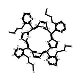 CCCCc1cccnc1C1=C2C=CC(=N2)C(c2ncccc2CCCC)=C2C=CC(=N2)C(c2ncccc2CCCC)=C2C=CC(=N2)C(c2ncccc2CCCC)=C2C=CC1=N2